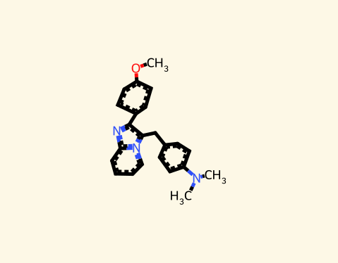 COc1ccc(-c2nc3ccccn3c2Cc2ccc(N(C)C)cc2)cc1